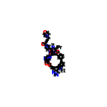 CCn1c(-c2cncnc2)c2c3cc(ccc31)-c1cccc(c1)C[C@H](NC(=O)[C@H](C(C)C)N(C)C(=O)[C@H]1CCN(C(=O)C#CCN3CCOCC3)C1)C(=O)N1CCC[C@H](N1)C(=O)OCC(C)(C)C2